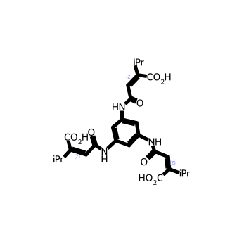 CC(C)/C(=C/C(=O)Nc1cc(NC(=O)/C=C(\C(=O)O)C(C)C)cc(NC(=O)/C=C(\C(=O)O)C(C)C)c1)C(=O)O